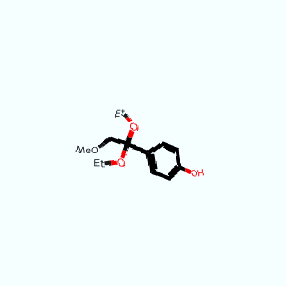 CCOC(COC)(OCC)c1ccc(O)cc1